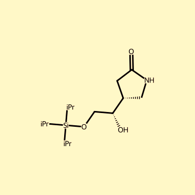 CC(C)[Si](OC[C@@H](O)[C@H]1CNC(=O)C1)(C(C)C)C(C)C